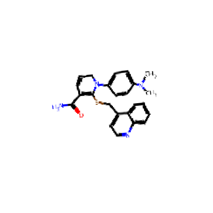 CN(C)c1ccc(N2CC=CC(C(N)=O)=C2SCc2ccnc3ccccc23)cc1